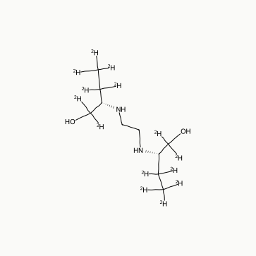 [2H]C([2H])(O)[C@@H](NCCN[C@H](C([2H])([2H])O)C([2H])([2H])C([2H])([2H])[2H])C([2H])([2H])C([2H])([2H])[2H]